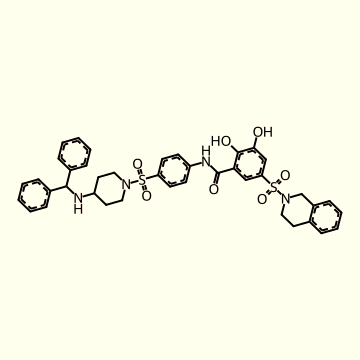 O=C(Nc1ccc(S(=O)(=O)N2CCC(NC(c3ccccc3)c3ccccc3)CC2)cc1)c1cc(S(=O)(=O)N2CCc3ccccc3C2)cc(O)c1O